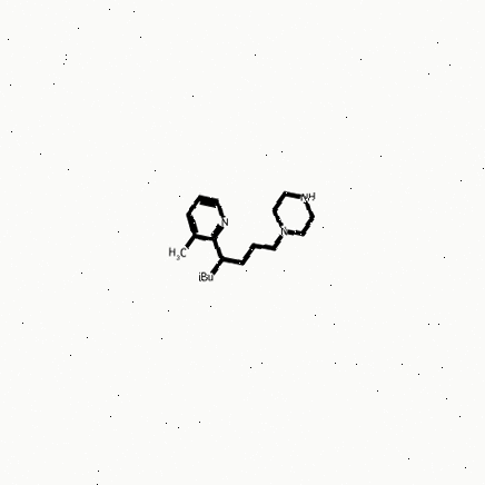 CCC(C)C(CCCN1CCNCC1)c1ncccc1C